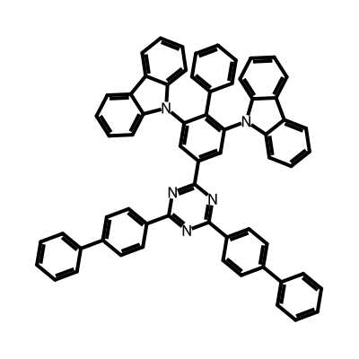 c1ccc(-c2ccc(-c3nc(-c4ccc(-c5ccccc5)cc4)nc(-c4cc(-n5c6ccccc6c6ccccc65)c(-c5ccccc5)c(-n5c6ccccc6c6ccccc65)c4)n3)cc2)cc1